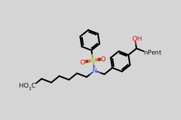 CCCCCC(O)c1ccc(CN(CCCCCCC(=O)O)S(=O)(=O)c2ccccc2)cc1